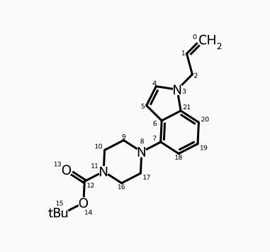 C=CCn1ccc2c(N3CCN(C(=O)OC(C)(C)C)CC3)cccc21